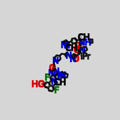 C#Cc1c(F)ccc2cc(O)cc(-c3ncc4c(N5CC6CCC(C5)N6)nc(OCCN5CCC(CC6CN(c7cc([C@H](C(=O)N8CCC[C@H]8C(=O)N[C@@H](C)c8ccc(-c9ccnn9C)cc8)C(C)C)on7)C6)CC5)nc4c3F)c12